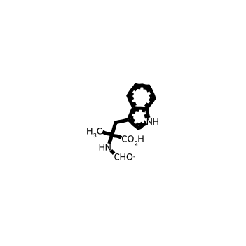 CC(Cc1c[nH]c2ccccc12)(N[C]=O)C(=O)O